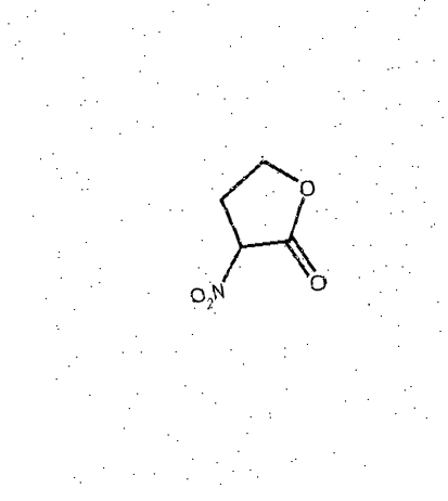 O=C1O[CH]CC1[N+](=O)[O-]